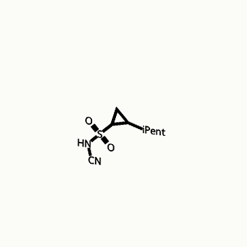 CCCC(C)C1CC1S(=O)(=O)NC#N